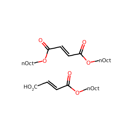 CCCCCCCCOC(=O)C=CC(=O)O.CCCCCCCCOC(=O)C=CC(=O)OCCCCCCCC